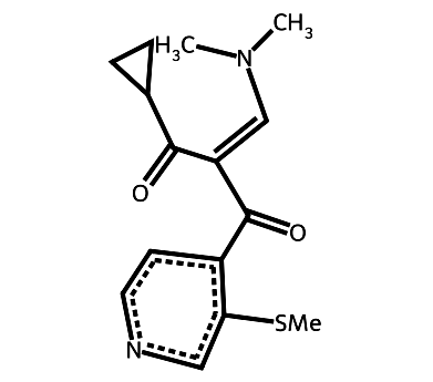 CSc1cnccc1C(=O)/C(=C/N(C)C)C(=O)C1CC1